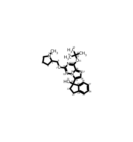 CN1CCCC1COc1nc(OC(C)(C)C)c2ncc(C3(O)CCc4ccccc43)n2n1